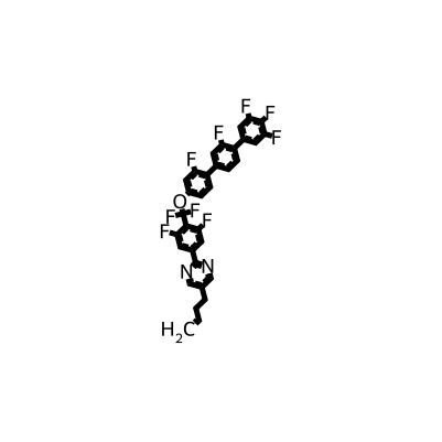 C=CCCc1cnc(-c2cc(F)c(C(F)(F)Oc3ccc(-c4ccc(-c5cc(F)c(F)c(F)c5)c(F)c4)c(F)c3)c(F)c2)nc1